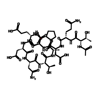 CC(=O)N[C@H](C(=O)N[C@@H](CCC(N)=O)C(=O)N[C@@H](CC(=O)O)C(=O)N1CCC[C@H]1C(=O)N[C@@H](CCC(=O)O)C(=O)N[C@@H](CC(=O)O)C(=O)N[C@@H](CC(N)=O)C(=O)N[C@H](C(=O)N[C@@H](C)C(=O)N[C@@H](CO)C(N)=O)[C@@H](C)O)[C@@H](C)O